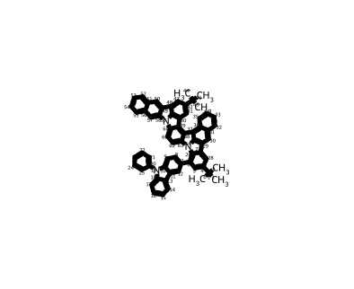 CC(C)(C)c1cc(-c2ccc3c(c2)c2ccccc2n3-c2ccccc2)c2c(c1)c1cc3ccccc3c3c4c5c6cc(C(C)(C)C)cc7c8cc9ccccc9cc8n(c5ccc4n2c13)c76